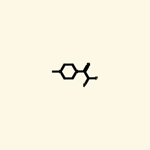 CN1CCN(C(=O)C(F)F)CC1